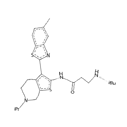 CC[C@@H](C)NCCC(=O)Nc1sc2c(c1-c1nc3cc(C)ccc3s1)CCN(C(C)C)C2